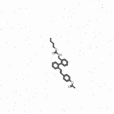 CCCCOC(=O)NCc1ccccc1-c1ccccc1/C=C/c1ccc(OC(C)=O)cc1